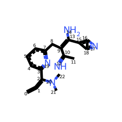 C=C=C(c1cccc(C/C(C(C)=N)=C(\N)C2=C3N=C32)n1)N(C)C